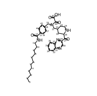 CCCCCCCCCCCCNC(=O)c1ccc(CN(CC2CCNC(C(=O)c3cnc4ccccc4n3)C2)C(=O)C(=O)O)cc1